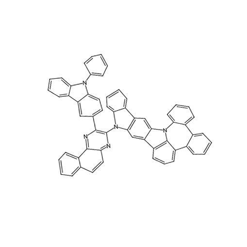 c1ccc(-n2c3ccccc3c3cc(-c4nc5c(ccc6ccccc65)nc4-n4c5ccccc5c5cc6c(cc54)c4cccc5c4n6-c4ccccc4-c4ccccc4-5)ccc32)cc1